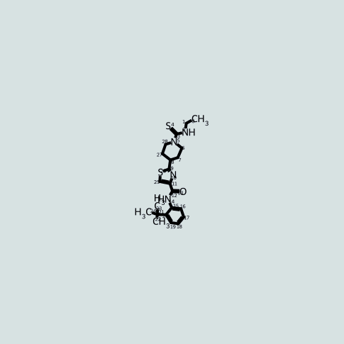 CCNC(=S)N1CCC(c2nc(C(=O)Nc3ccccc3C(C)(C)C)cs2)CC1